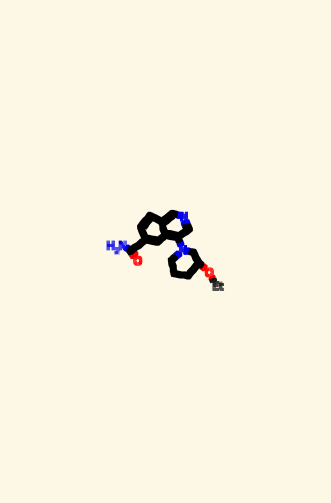 CCOC1CCCN(c2cncc3ccc(C(N)=O)cc23)C1